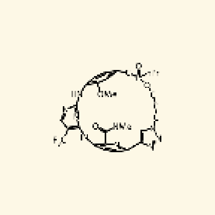 CCCP1(=O)Cc2ccc(c(OC)c2)Nc2ncc(C(F)(F)F)c(n2)Nc2ccc(nc2C(=O)NC)-c2cn(nn2)CCCO1